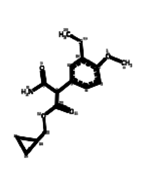 COc1ccc(C(C(N)=O)C(=O)OCC2CC2)cc1SC